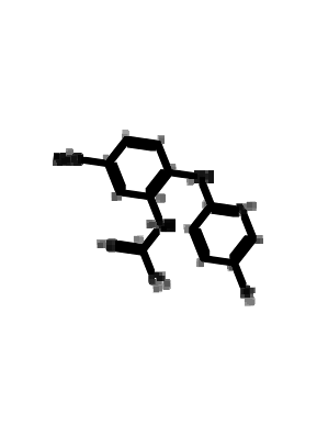 COc1ccc(Nc2ccc(Br)cn2)c(NC(=O)C(F)(F)F)c1